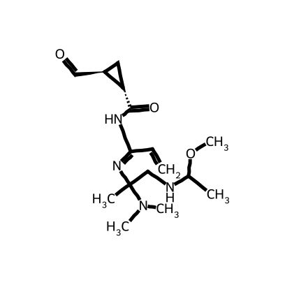 C=C/C(=N\C(C)(CNC(C)OC)N(C)C)NC(=O)[C@H]1C[C@@H]1C=O